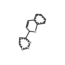 C1=CC(c2ccnnn2)Oc2ccccc21